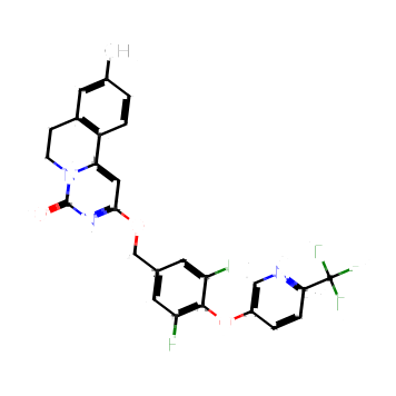 Cc1ccc2c(c1)CCn1c-2cc(OCc2cc(F)c(Oc3ccc(C(F)(F)F)nc3)c(F)c2)nc1=O